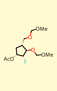 COCOC[C@H]1C[C@@H](OC(C)=O)[C@@H](F)[C@@H]1OCOC